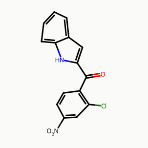 O=C(c1cc2ccccc2[nH]1)c1ccc([N+](=O)[O-])cc1Cl